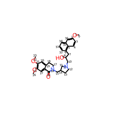 COc1ccc2c(CC(O)CN3CCC(CN4CCc5cc(OC)c(OC)cc5C4=O)C3)cccc2c1